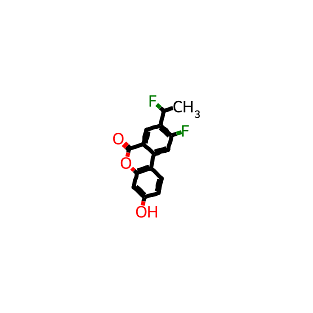 CC(F)c1cc2c(=O)oc3cc(O)ccc3c2cc1F